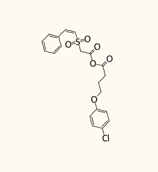 O=C(CCCOc1ccc(Cl)cc1)OC(=O)CS(=O)(=O)/C=C\c1ccccc1